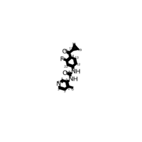 Cc1ccncc1NC(=O)Nc1ccc(C(=O)C2CC2)c(F)c1